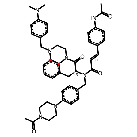 CC(=O)Nc1ccc(/C=C/C(=O)N(Cc2ccc(N3CCN(C(C)=O)CC3)cc2)[C@@H](Cc2ccccc2)C(=O)N2CCN(Cc3ccc(N(C)C)cc3)CC2)cc1